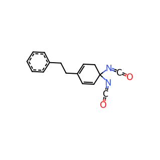 O=C=NC1(N=C=O)C=CC(CCc2ccccc2)=CC1